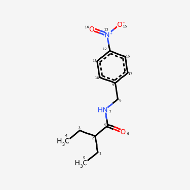 CCC(CC)C(=O)NCc1ccc([N+](=O)[O-])cc1